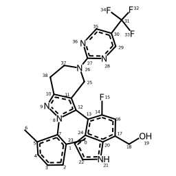 Cc1cccc(C)c1-n1nc2c(c1-c1c(F)cc(CO)c3[nH]ccc13)CN(c1ncc(C(F)(F)F)cn1)CC2